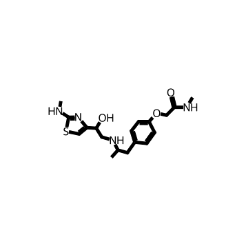 CNC(=O)COc1ccc(CC(C)NCC(O)c2csc(NC)n2)cc1